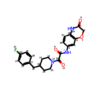 O=C1COc2cc(NC(=O)C(=O)N3CCC(Cc4ccc(F)cc4)CC3)ccc2N1